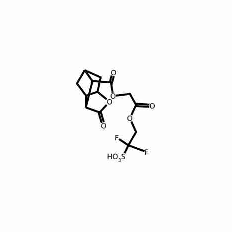 O=C(COC(=O)C1C2CC3OC(=O)C1C3C2)OCC(F)(F)S(=O)(=O)O